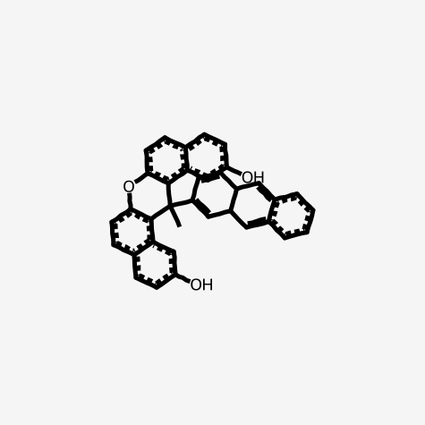 CC1(C2=CC3C=c4ccccc4=CC3C=C2)c2c(ccc3ccc(O)cc23)Oc2ccc3ccc(O)cc3c21